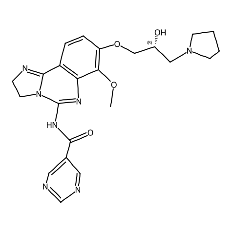 COc1c(OC[C@H](O)CN2CCCC2)ccc2c1N=C(NC(=O)c1cncnc1)N1CCN=C21